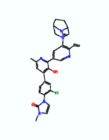 COc1ncc(-c2nc(C)cc(-c3ccc(-n4ccn(C)c4=O)c(Cl)c3)c2O)cc1N1CC2CCC(C1)N2C(C)(C)C